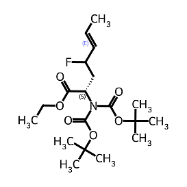 C/C=C/C(F)C[C@@H](C(=O)OCC)N(C(=O)OC(C)(C)C)C(=O)OC(C)(C)C